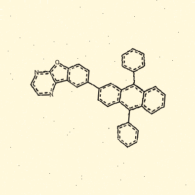 c1ccc(-c2c3ccccc3c(-c3ccccc3)c3cc(-c4ccc5oc6nccnc6c5c4)ccc23)cc1